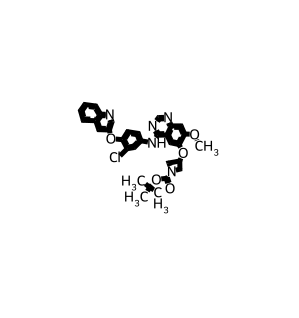 COc1cc2ncnc(Nc3ccc(Oc4cnc5ccccc5c4)c(Cl)c3)c2cc1OC1CN(C(=O)OC(C)(C)C)C1